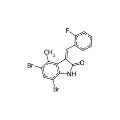 Cc1c(Br)cc(Br)c2c1C(=Cc1ccccc1F)C(=O)N2